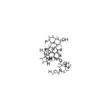 C#Cc1c(F)ccc2cc(O)cc(-c3nc(OC)c4c(N5C[C@H]6CC[C@@H](C5)N6)nc(OC[C@]5(C)CN(CC)CCC5(F)F)nc4c3F)c12